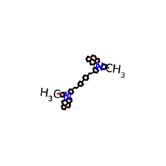 Cc1ccc(N(c2ccc(C=Cc3ccc(-c4ccc(C=Cc5ccc(N(c6ccc(C)cc6)c6ccc7ccc8cccc9ccc6c7c89)cc5)cc4)cc3)cc2)c2ccc3ccc4cccc5ccc2c3c45)cc1